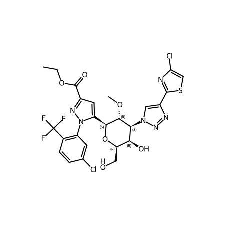 CCOC(=O)c1cc([C@@H]2O[C@H](CO)[C@H](O)[C@H](n3cc(-c4nc(Cl)cs4)nn3)[C@H]2OC)n(-c2cc(Cl)ccc2C(F)(F)F)n1